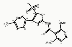 COc1ncnc(OC)c1C(=O)Nc1nc(-c2ccc(C(F)(F)F)cn2)c(S(C)(=O)=O)s1